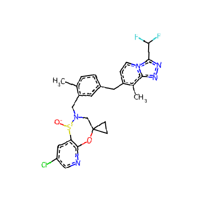 Cc1ccc(Cc2ccn3c(C(F)F)nnc3c2C)cc1CN1CC2(CC2)Oc2ncc(Cl)cc2[S+]1[O-]